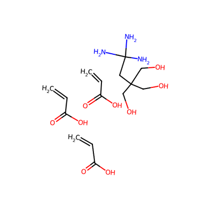 C=CC(=O)O.C=CC(=O)O.C=CC(=O)O.NC(N)(N)CC(CO)(CO)CO